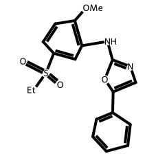 CCS(=O)(=O)c1ccc(OC)c(Nc2ncc(-c3ccccc3)o2)c1